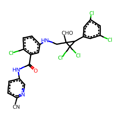 N#Cc1ccc(NC(=O)c2cc(NCC3(C=O)C(c4cc(Cl)cc(Cl)c4)C3(Cl)Cl)ccc2Cl)cn1